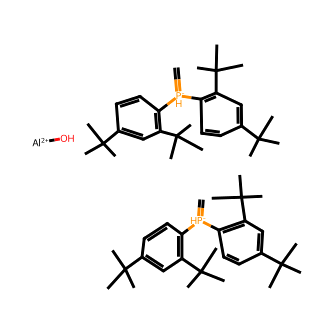 C=[PH-](c1ccc(C(C)(C)C)cc1C(C)(C)C)c1ccc(C(C)(C)C)cc1C(C)(C)C.C=[PH-](c1ccc(C(C)(C)C)cc1C(C)(C)C)c1ccc(C(C)(C)C)cc1C(C)(C)C.[OH][Al+2]